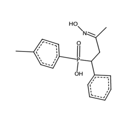 CC(CC(c1ccccc1)P(=O)(O)c1ccc(C)cc1)=NO